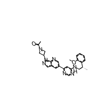 COc1ccccc1[C@H](C)CNc1cc(-c2cnc3c(cnn3C3CN(C(C)=O)C3)c2)ncn1